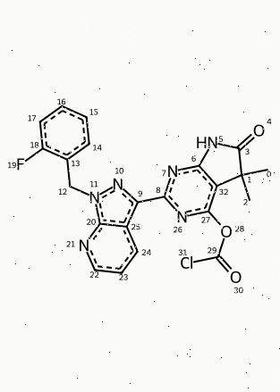 CC1(C)C(=O)Nc2nc(-c3nn(Cc4ccccc4F)c4ncccc34)nc(OC(=O)Cl)c21